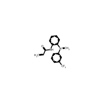 C=CC(=O)Nc1ccccc1[N+](=C)c1cccc(C(F)(F)F)c1